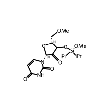 COC[C@H]1O[C@@H](n2ccc(=O)[nH]c2=O)C(=O)C1O[Si](OC)(C(C)C)C(C)C